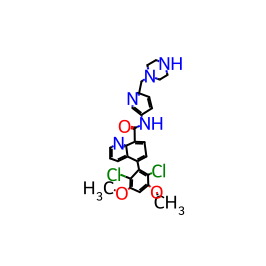 COc1cc(OC)c(Cl)c(-c2ccc(C(=O)Nc3ccc(CN4CCNCC4)nc3)c3ncccc23)c1Cl